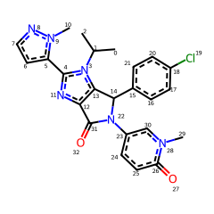 CC(C)n1c(-c2ccnn2C)nc2c1C(c1ccc(Cl)cc1)N(c1ccc(=O)n(C)c1)C2=O